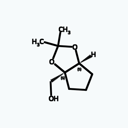 CC1(C)O[C@H]2CCC[C@@]2(CO)O1